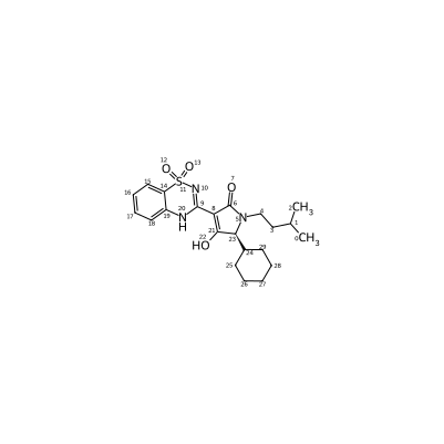 CC(C)CCN1C(=O)C(C2=NS(=O)(=O)c3ccccc3N2)=C(O)[C@@H]1C1CCCCC1